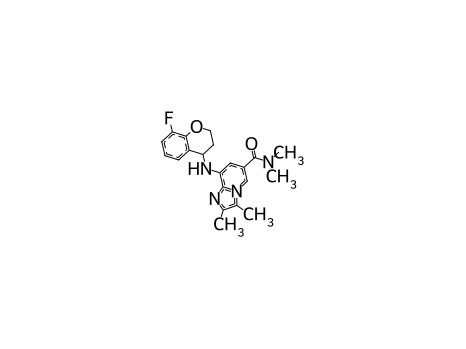 Cc1nc2c(NC3CCOc4c(F)cccc43)cc(C(=O)N(C)C)cn2c1C